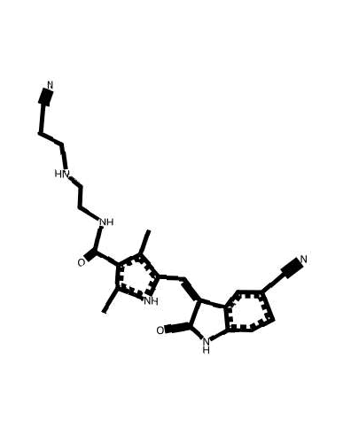 Cc1[nH]c(/C=C2\C(=O)Nc3ccc(C#N)cc32)c(C)c1C(=O)NCCNCCC#N